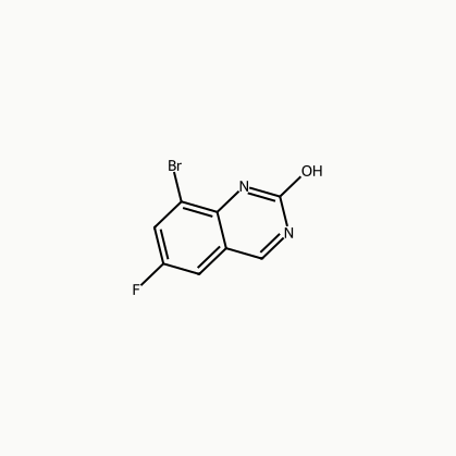 Oc1ncc2cc(F)cc(Br)c2n1